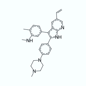 C=Cc1cnc2[nH]c(-c3ccc(N4CCN(C)CC4)cc3)c(-c3ccc(C)c(NC)c3)c2c1